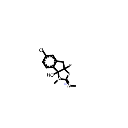 C/N=C1\SC2(F)Cc3cc(Cl)ccc3C2(O)N1C